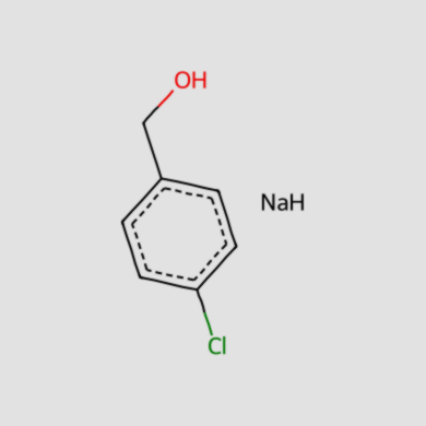 OCc1ccc(Cl)cc1.[NaH]